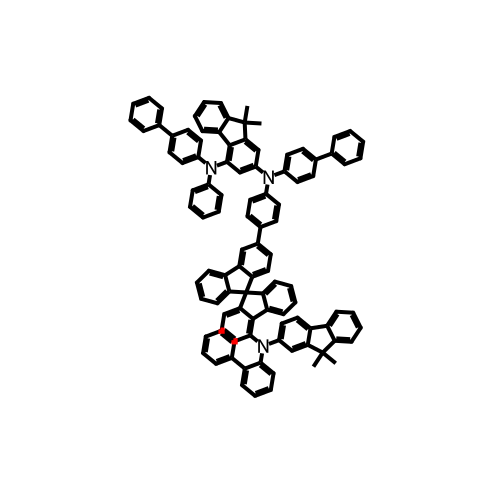 CC1(C)c2ccccc2-c2ccc(N(c3ccccc3-c3ccccc3)c3cccc4c3-c3ccccc3C43c4ccccc4-c4cc(-c5ccc(N(c6ccc(-c7ccccc7)cc6)c6cc(N(c7ccccc7)c7ccc(-c8ccccc8)cc7)c7c(c6)C(C)(C)c6ccccc6-7)cc5)ccc43)cc21